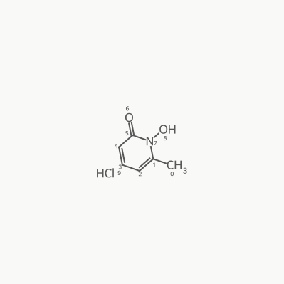 Cc1cccc(=O)n1O.Cl